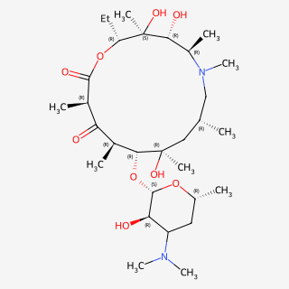 CC[C@H]1OC(=O)[C@H](C)C(=O)[C@H](C)[C@@H](O[C@@H]2O[C@H](C)CC(N(C)C)[C@H]2O)[C@](C)(O)C[C@@H](C)CN(C)[C@H](C)[C@@H](O)[C@]1(C)O